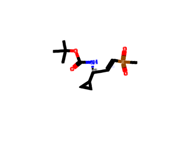 CC(C)(C)OC(=O)N[C@H](/C=C/S(C)(=O)=O)C1CC1